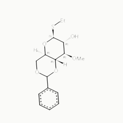 CCS[C@@H]1O[C@@H]2COC(c3ccccc3)O[C@H]2[C@H](OC)[C@H]1O